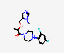 CC(OCc1cncn1C)C(=O)N1CCN(c2ccc(F)cc2F)CC1